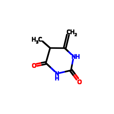 C=C1NC(=O)NC(=O)C1C